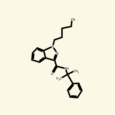 CC(C)(NC(=O)c1nn(CCCCC#N)c2ccccc12)c1ccccc1